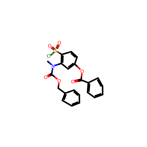 CN(C(=O)OCc1ccccc1)c1cc(OC(=O)c2ccccc2)ccc1S(=O)(=O)Cl